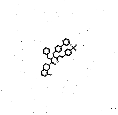 O=C(C(Cc1ccccc1)N(Cc1ccc(-c2ccccn2)cc1)C(=O)C=Cc1ccc(C(F)(F)F)cc1)N1CCc2cccc(Cl)c2C1